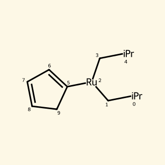 CC(C)[CH2][Ru]([CH2]C(C)C)[C]1=CC=CC1